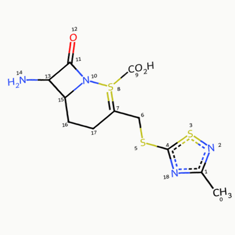 Cc1nsc(SCC2=S(C(=O)O)N3C(=O)C(N)C3CC2)n1